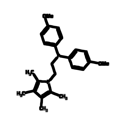 COc1ccc(P(CCp2c(C)c(C)c(C)c2C)c2ccc(OC)cc2)cc1